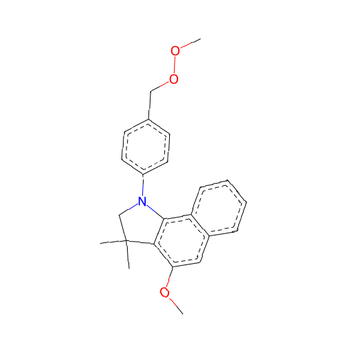 COOCc1ccc(N2CC(C)(C)c3c(OC)cc4ccccc4c32)cc1